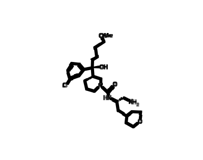 COCCCC[C@@](O)(c1cccc(Cl)c1)[C@@H]1CCCN(C(=O)N[C@H](CN)CC2CCOCC2)C1